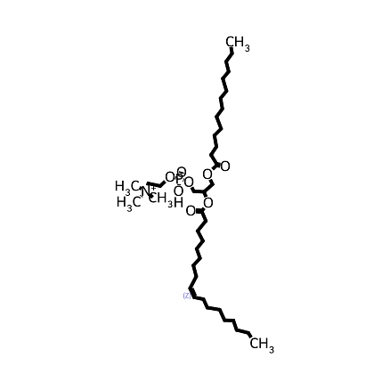 CCCCCCCC/C=C\CCCCCCCC(=O)OC(COC(=O)CCCCCCCCCCCCC)COP(=O)(O)OCC[N+](C)(C)C